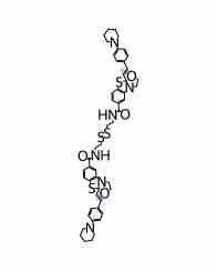 O=C(NCCSSCCNC(=O)c1ccc2c(c1)N1CCOC1(/C=C/c1ccc(N3CCCCC3)cc1)S2)c1ccc2c(c1)N1CCOC1(/C=C/c1ccc(N3CCCCC3)cc1)S2